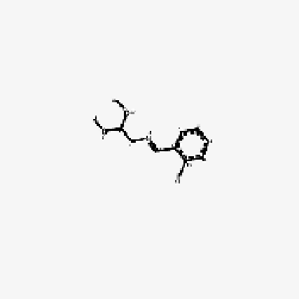 COC(CN=Cc1ccccc1F)OC